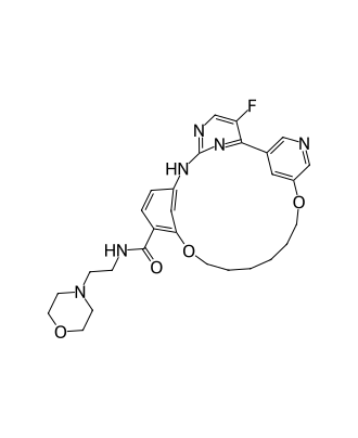 O=C(NCCN1CCOCC1)c1ccc2cc1OCCCCCCOc1cncc(c1)-c1nc(ncc1F)N2